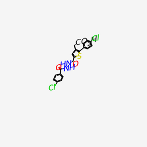 O=C(O)Cc1cc(C(=O)NNC(=O)c2ccc(Cl)cc2)sc1-c1ccc(Cl)cc1